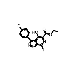 CCOC(=O)c1nc(I)c2snc(-c3ccc(F)cc3)c2c1O